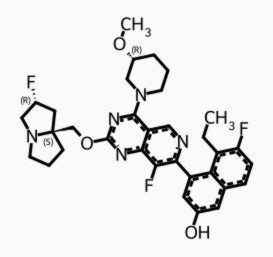 CCc1c(F)ccc2cc(O)cc(-c3ncc4c(N5CCC[C@@H](OC)C5)nc(OC[C@@]56CCCN5C[C@H](F)C6)nc4c3F)c12